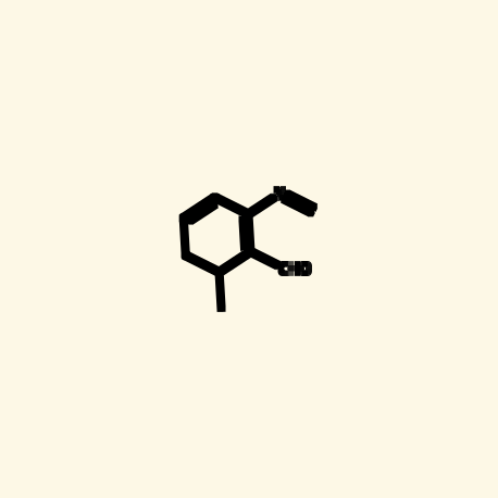 C=NC1=C(C=O)C(C)CC=C1